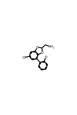 NCC1Oc2cc(Cl)cc(-c3ccccc3Cl)c2O1